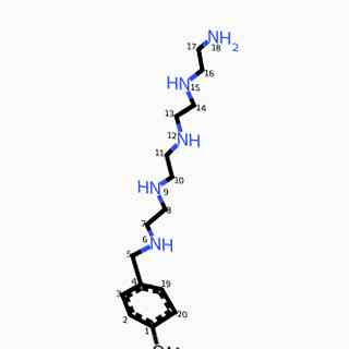 COc1ccc(CNCCNCCNCCNCCN)cc1